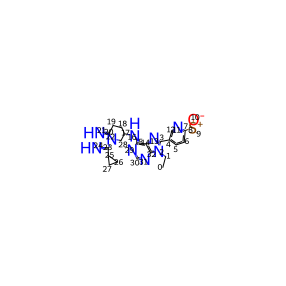 CCn1c(-c2ccc([S+](C)[O-])nc2)nc2c(NC3CCC(=N)N(C(=N)C4CC4)C3)ncnc21